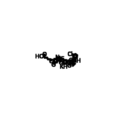 COc1cc2c(Oc3ccc(NC(=O)C4(C(=O)Nc5cccc(Cl)c5)CC4)cc3F)ccnc2cc1OCCCCC(=O)O.[KH]